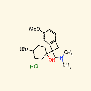 COc1ccc2c(c1)C(CN(C)C)(C1(O)CCC(C(C)(C)C)CC1)C2.Cl